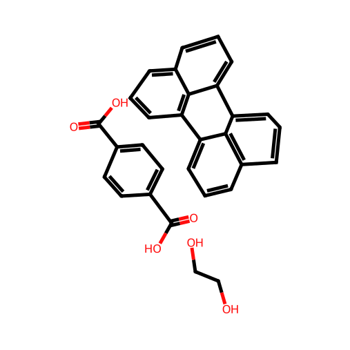 O=C(O)c1ccc(C(=O)O)cc1.OCCO.c1cc2cccc3c4cccc5cccc(c(c1)c23)c54